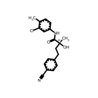 Cc1ccc(NC(=O)[C@](C)(O)CCc2ccc(C#N)cc2)cc1Cl